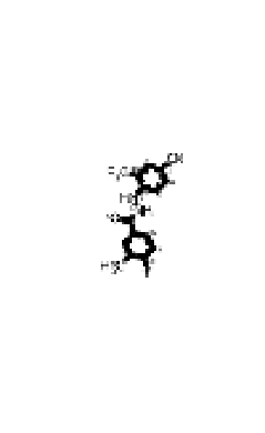 Cc1cc(C(=O)NNc2ccc(C#N)cc2C(F)(F)F)ccc1F